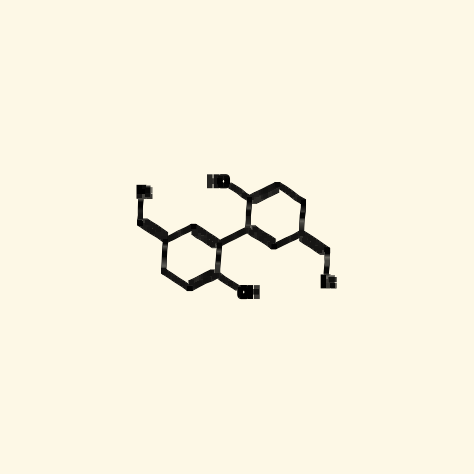 CCC=C1C=C(C2=CC(=CCC)CC=C2O)C(O)=CC1